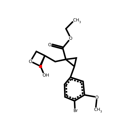 CCOC(=O)C1(CC2(CO)COC2)CC1c1ccc(Br)c(OC)c1